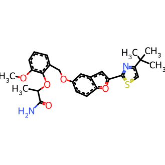 COc1cccc(COc2ccc3oc(-c4nc(C(C)(C)C)cs4)cc3c2)c1OC(C)C(N)=O